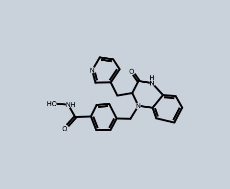 O=C(NO)c1ccc(CN2c3ccccc3NC(=O)C2Cc2cccnc2)cc1